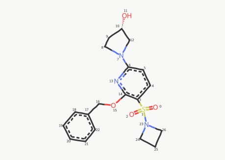 O=S(=O)(c1ccc(N2CC[C@H](O)C2)nc1OCc1ccccc1)N1CCC1